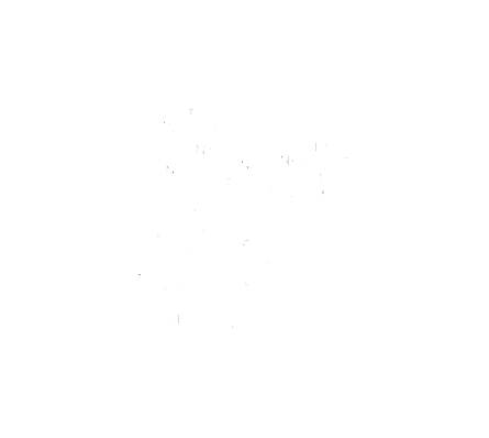 O=C(Nc1nc(C(F)(F)F)cs1)c1c(C=Cc2cccc(OC(F)F)c2OC2CCCC2)nc2sccn12